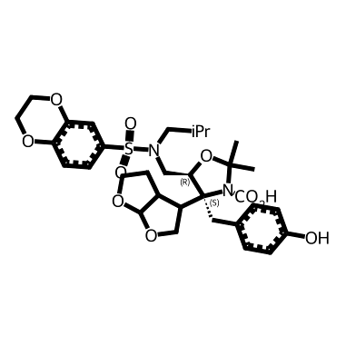 CC(C)CN(C[C@H]1OC(C)(C)N(C(=O)O)[C@@]1(Cc1ccc(O)cc1)C1COC2OCCC21)S(=O)(=O)c1ccc2c(c1)OCCO2